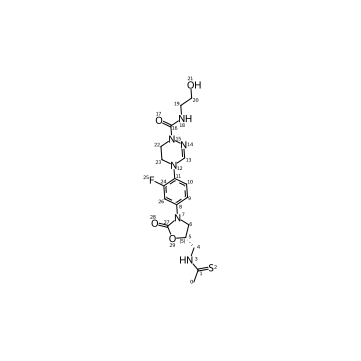 CC(=S)NC[C@H]1CN(c2ccc(N3C=NN(C(=O)NCCO)CC3)c(F)c2)C(=O)O1